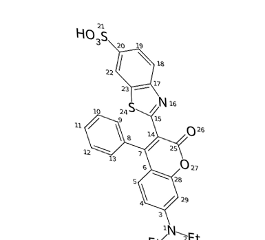 CCN(CC)c1ccc2c(-c3ccccc3)c(-c3nc4ccc(S(=O)(=O)O)cc4s3)c(=O)oc2c1